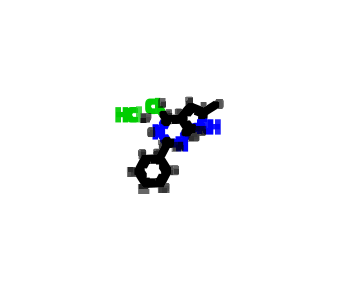 Cc1cc2c(Cl)nc(-c3ccccc3)nc2[nH]1.Cl